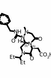 CCC(CC)N1C[C@H]2N(C(=O)CN(C)N2C(=O)NCc2ccccc2)[C@@H](CC(=O)O)C1=O